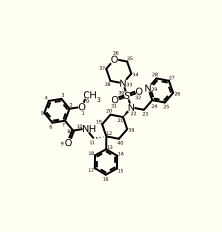 COc1ccccc1C(=O)NC[C@]1(c2ccccc2)CC[C@@H](N(Cc2ccccn2)S(=O)(=O)N2CCOCC2)CC1